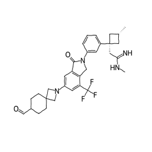 CNC(=N)C[C@]1(c2cccc(N3Cc4c(cc(N5CC6(CCC(C=O)CC6)C5)cc4C(F)(F)F)C3=O)c2)C[C@H](C)C1